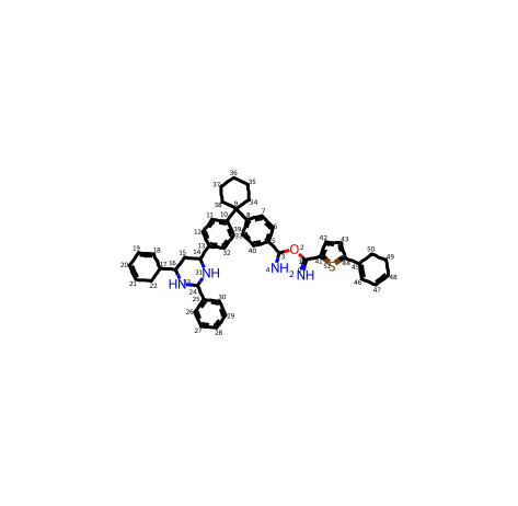 N=C(OC(N)c1ccc(C2(c3ccc(C4CC(C5C=CC=CC5)NC(c5ccccc5)N4)cc3)CCCCC2)cc1)c1ccc(C2=CC=CCC2)s1